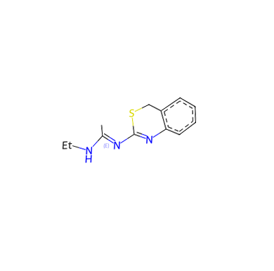 CCN/C(C)=N/C1=Nc2ccccc2CS1